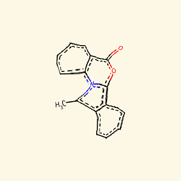 Cc1c2ccccc2c2oc(=O)c3ccccc3n12